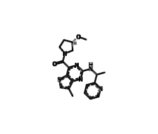 CO[C@H]1CCN(C(=O)c2nc(NC(C)c3ccccn3)nc3c(C)csc23)C1